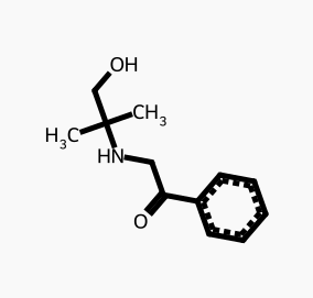 CC(C)(CO)NCC(=O)c1ccccc1